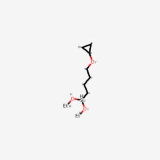 CCO[SiH](CCCCOC1CC1)OCC